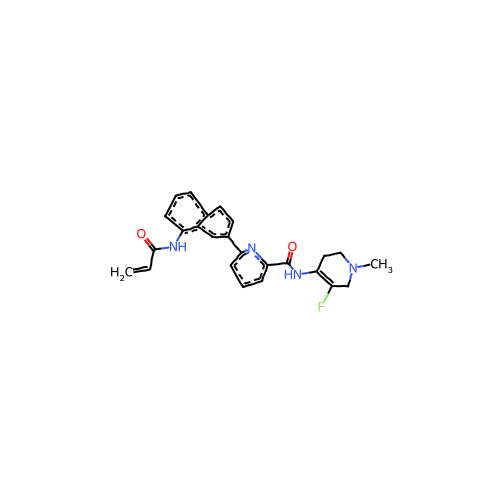 C=CC(=O)Nc1cccc2ccc(-c3cccc(C(=O)NC4=C(F)CN(C)CC4)n3)cc12